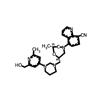 Cc1cc(N2CCCN(C[C@H]3CN(c4ccc(C#N)c5ncccc45)C[C@@H](C)O3)C2)cc(CO)n1